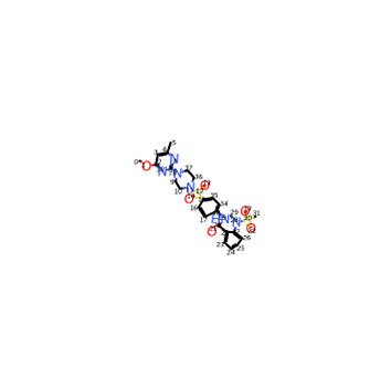 COc1cc(C)nc(N2CCN(S(=O)(=O)c3ccc(NC(=O)c4ccccc4N(C)S(C)(=O)=O)cc3)CC2)n1